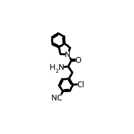 N#Cc1ccc(CC(N)C(=O)N2Cc3ccccc3C2)c(Cl)c1